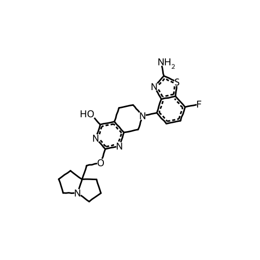 Nc1nc2c(N3CCc4c(O)nc(OCC56CCCN5CCC6)nc4C3)ccc(F)c2s1